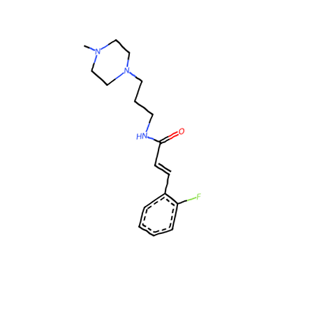 CN1CCN(CCCNC(=O)/C=C/c2ccccc2F)CC1